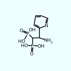 NC(c1ccccn1)C(P(=O)(O)O)P(=O)(O)O